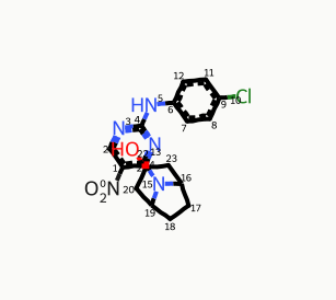 O=[N+]([O-])c1cnc(Nc2ccc(Cl)cc2)nc1N1C2CCC1CC(O)C2